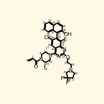 C=CC(=O)N1C[C@H](C)N(c2nc(OCCN3CCC(F)(F)C3)nc3c(F)c(-c4c(O)ccc5ccccc45)c(Cl)cc23)C[C@H]1C